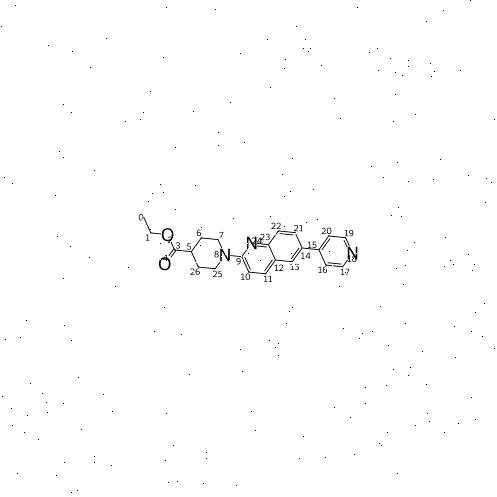 CCOC(=O)C1CCN(c2ccc3cc(-c4ccncc4)ccc3n2)CC1